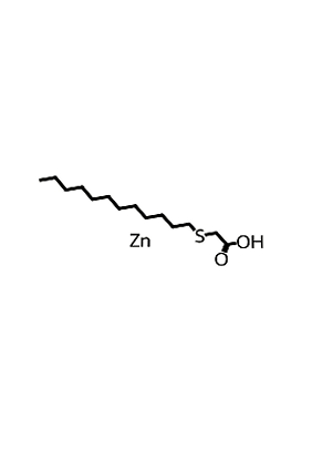 CCCCCCCCCCCCSCC(=O)O.[Zn]